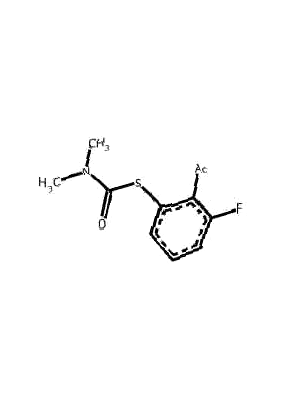 CC(=O)c1c(F)cccc1SC(=O)N(C)C